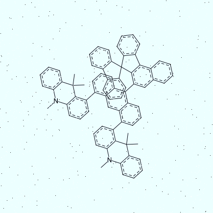 CN1c2ccccc2C(C)(C)c2c(-c3cccc4c(-c5cc6ccccc6c6c5C5(c7ccccc7-c7ccccc75)c5ccccc5-6)c5cccc(-c6cccc7c6C(C)(C)c6ccccc6N7C)c5cc34)cccc21